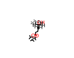 [2H]C([2H])([2H])C(O)(C#CCCC(=O)O[Si](C(C)C)(C(C)C)C(C)C)C([2H])([2H])[2H]